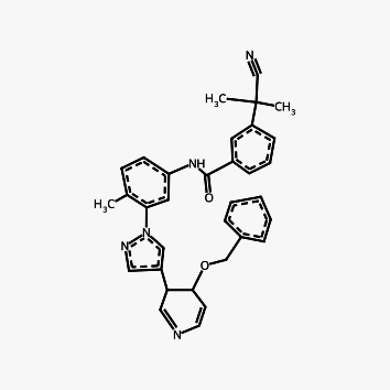 Cc1ccc(NC(=O)c2cccc(C(C)(C)C#N)c2)cc1-n1cc(C2C=NC=CC2OCc2ccccc2)cn1